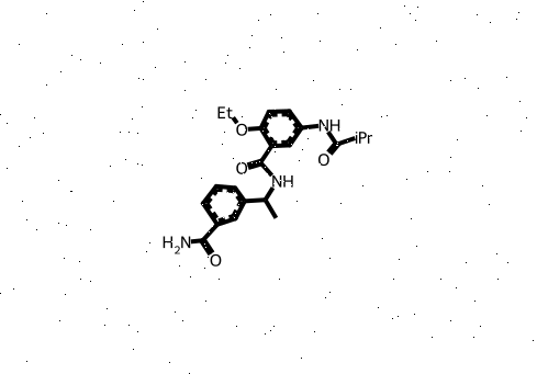 CCOc1ccc(NC(=O)C(C)C)cc1C(=O)NC(C)c1cccc(C(N)=O)c1